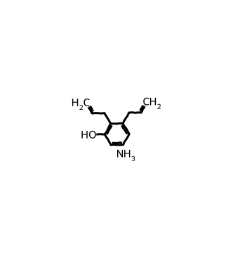 C=CCc1cccc(O)c1CC=C.N